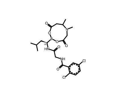 CC(C)C[C@H](NC(=O)CNC(=O)c1cc(Cl)ccc1Cl)B1OC(=O)CC(C)N(C)CC(=O)O1